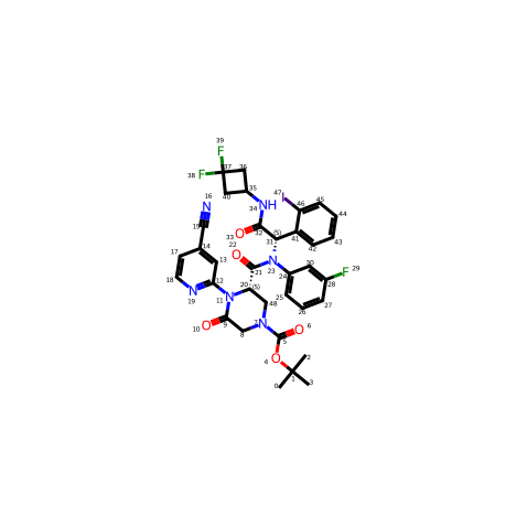 CC(C)(C)OC(=O)N1CC(=O)N(c2cc(C#N)ccn2)[C@H](C(=O)N(c2cccc(F)c2)[C@H](C(=O)NC2CC(F)(F)C2)c2ccccc2I)C1